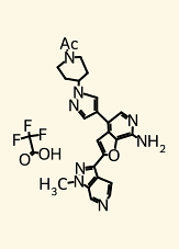 CC(=O)N1CCC(n2cc(-c3cnc(N)c4oc(-c5nn(C)c6cnccc56)cc34)cn2)CC1.O=C(O)C(F)(F)F